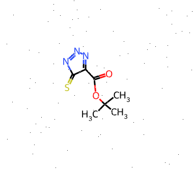 CC(C)(C)OC(=O)C1=NN=NC1=S